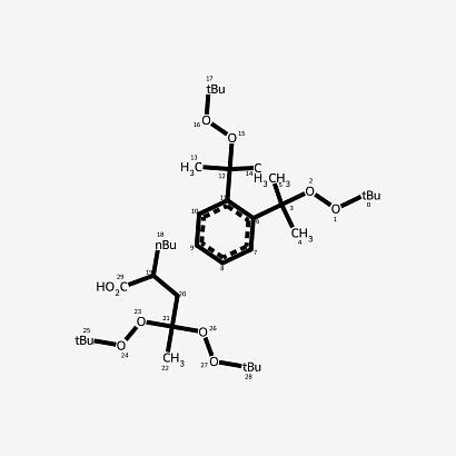 CC(C)(C)OOC(C)(C)c1ccccc1C(C)(C)OOC(C)(C)C.CCCCC(CC(C)(OOC(C)(C)C)OOC(C)(C)C)C(=O)O